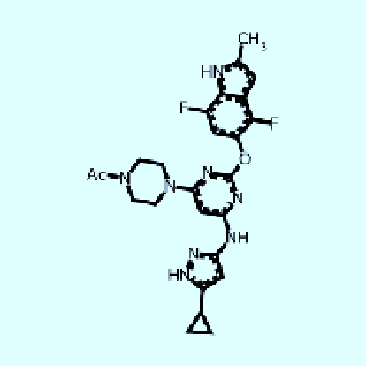 CC(=O)N1CCN(c2cc(Nc3cc(C4CC4)[nH]n3)nc(Oc3cc(F)c4[nH]c(C)cc4c3F)n2)CC1